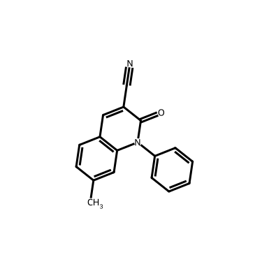 Cc1ccc2cc(C#N)c(=O)n(-c3ccccc3)c2c1